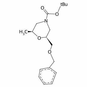 C[C@H]1CN(C(=O)OC(C)(C)C)C[C@@H](COCc2ccccc2)O1